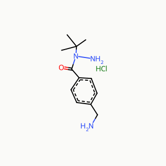 CC(C)(C)N(N)C(=O)c1ccc(CN)cc1.Cl